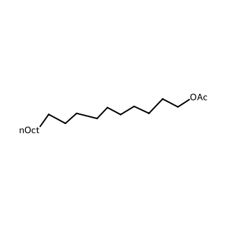 [CH2]C(=O)OCCCCCCCCCCCCCCCCCC